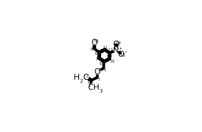 C=C(C)COCc1cc(C=O)cc([N+](=O)[O-])c1